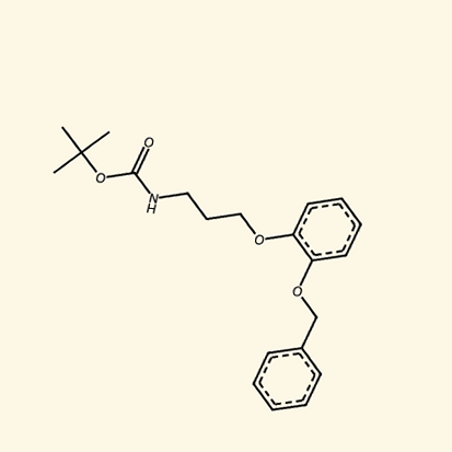 CC(C)(C)OC(=O)NCCCOc1ccccc1OCc1ccccc1